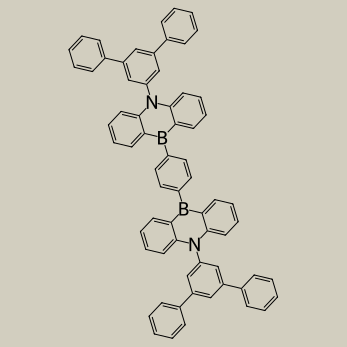 c1ccc(-c2cc(-c3ccccc3)cc(N3c4ccccc4B(c4ccc(B5c6ccccc6N(c6cc(-c7ccccc7)cc(-c7ccccc7)c6)c6ccccc65)cc4)c4ccccc43)c2)cc1